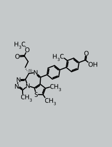 COC(=O)CC[C@@H]1N=C(c2ccc(-c3ccc(C(=O)O)cc3C)cc2)c2c(sc(C)c2C)-n2c(C)nnc21